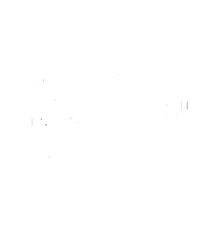 O=C1NC(=S)S/C1=C\c1ccc(C(=O)O)cc1